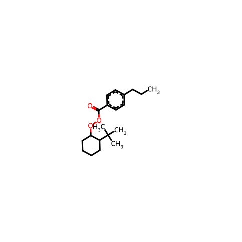 CCCc1ccc(C(=O)OO[C]2CCCCC2C(C)(C)C)cc1